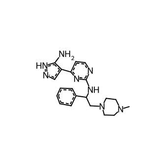 CN1CCN(CC(Nc2nccc(-c3cn[nH]c3N)n2)c2ccccc2)CC1